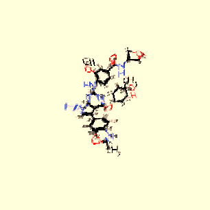 COc1cc(C(=O)NC2COC2)ccc1Nc1nc(O[C@H]2CC[C@@](C)(O)CC2)c2c(-c3ccc4nc(C)oc4c3)c[nH]c2n1